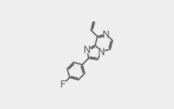 C=Cc1nccn2cc(-c3ccc(F)cc3)nc12